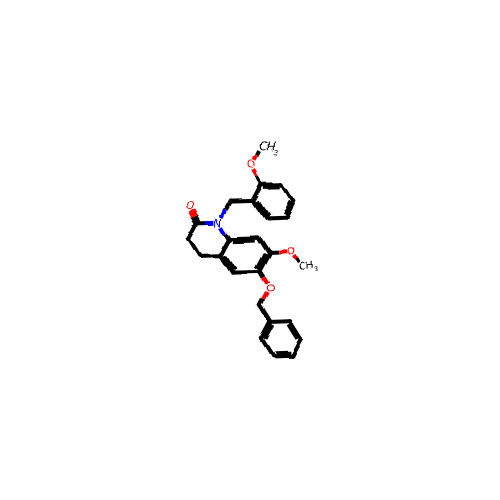 COc1ccccc1CN1C(=O)CCc2cc(OCc3ccccc3)c(OC)cc21